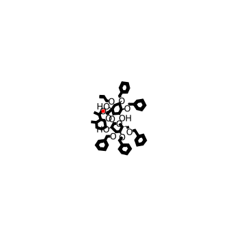 C=CCO[C@H]1[C@H](OCc2ccccc2)[C@@H](OCc2ccccc2)[C@H](O)[C@H](O[C@H]2O[C@H](COCc3ccccc3)[C@@H](OCc3ccccc3)[C@H](OCc3ccccc3)[C@@H]2O)[C@@]1(O)C(=O)OC1CCCC(C)C1C(C)C